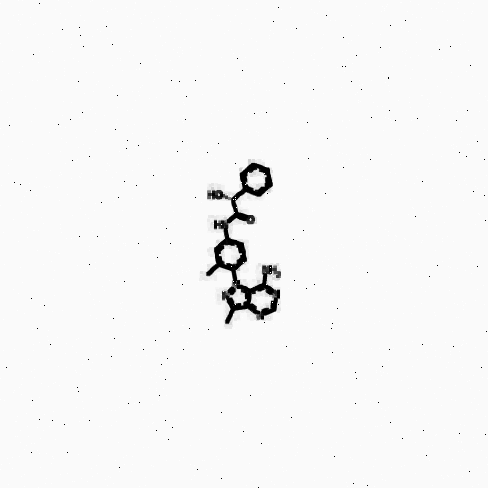 Cc1cc(NC(=O)[C@H](O)c2ccccc2)ccc1-n1nc(C)c2ncnc(N)c21